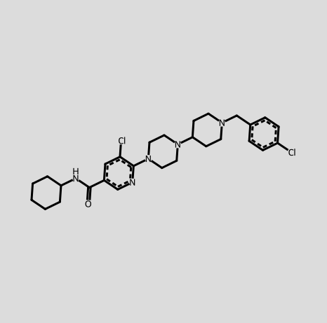 O=C(NC1CCCCC1)c1cnc(N2CCN(C3CCN(Cc4ccc(Cl)cc4)CC3)CC2)c(Cl)c1